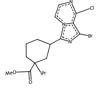 COC(=O)C1(C(C)C)CCCC(c2nc(Br)c3c(Cl)nccn23)C1